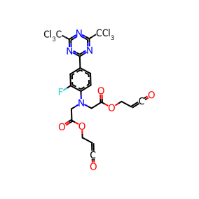 O=C=CCOC(=O)CN(CC(=O)OCC=C=O)c1ccc(-c2nc(C(Cl)(Cl)Cl)nc(C(Cl)(Cl)Cl)n2)cc1F